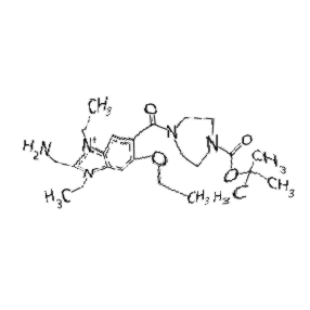 CCOc1cc2c(cc1C(=O)N1CCN(C(=O)OC(C)(C)C)CC1)[n+](CC)c(CN)n2CC